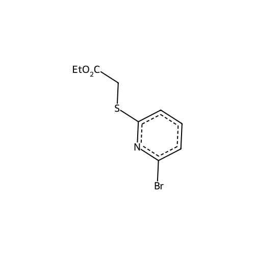 CCOC(=O)CSc1cccc(Br)n1